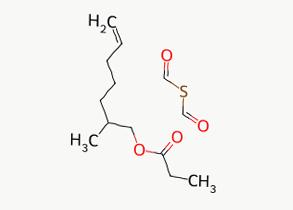 C=CCCCC(C)COC(=O)CC.O=CSC=O